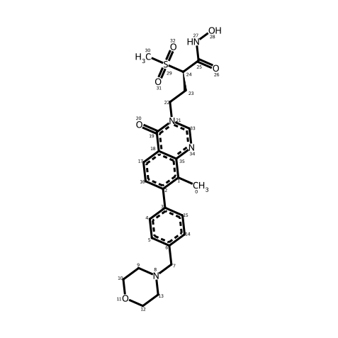 Cc1c(-c2ccc(CN3CCOCC3)cc2)ccc2c(=O)n(CC[C@H](C(=O)NO)S(C)(=O)=O)cnc12